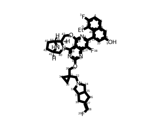 CCc1c(F)ccc2cc(O)cc(-c3nc4c5c(nc(OCC6(CN7CC8CC(=CF)CC8C7)CC6)nc5c3F)N3C[C@H]5CC[C@@H](N5)[C@H]3CO4)c12